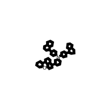 c1cc(-c2ccc3c4c(cccc24)-c2ccccc2O3)cc(N(c2ccc(-c3cccc4ccccc34)cc2)c2ccc(-c3cccc4ccccc34)cc2)c1